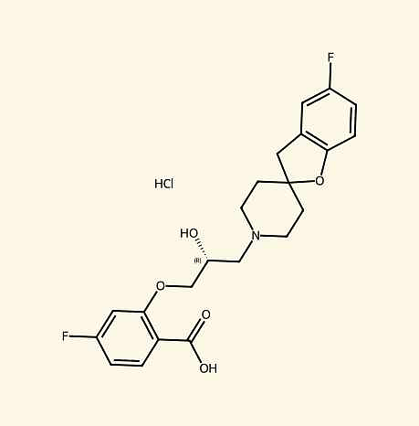 Cl.O=C(O)c1ccc(F)cc1OC[C@H](O)CN1CCC2(CC1)Cc1cc(F)ccc1O2